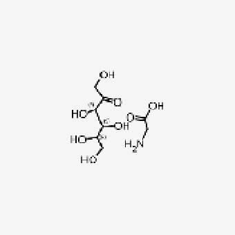 NCC(=O)O.O=C(CO)[C@H](O)[C@@H](O)[C@H](O)CO